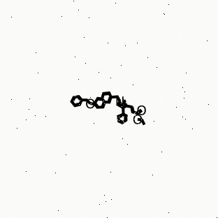 CCOC(=O)/C=C/c1cn(Cc2ccc3cc(OCc4ccccc4)ccc3c2)cc1-c1ccccc1